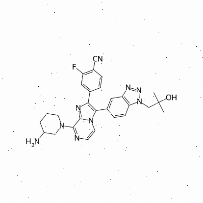 CC(C)(O)Cn1nnc2cc(-c3c(-c4ccc(C#N)c(F)c4)nc4c(N5CCCC(N)C5)nccn34)ccc21